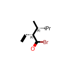 C=C[C@@H](C(=O)Br)[C@H](C)C(C)C